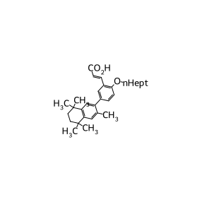 CCCCCCCOc1ccc(-c2cc3c(cc2C)C(C)(C)CCC3(C)C)cc1C=CC(=O)O